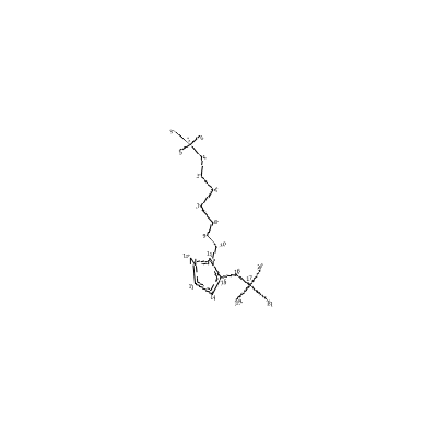 CC(C)(C)CCCCCCCn1nccc1CC(C)(C)C